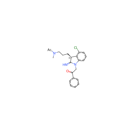 CC(=O)N(C)CCC[C@@H]1C(=N)N(CC(=O)c2ccccc2)c2cccc(Cl)c21